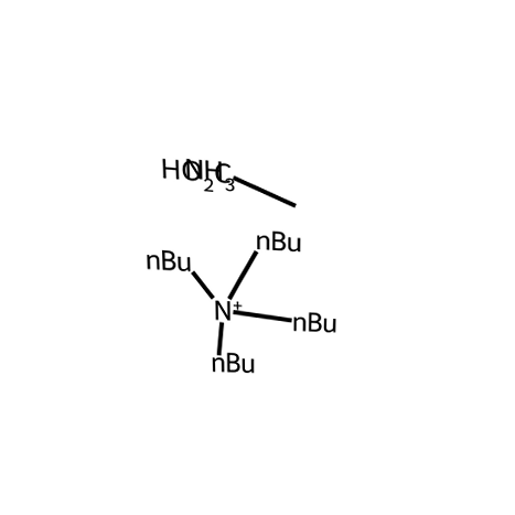 CC(=O)O.CCCC[N+](CCCC)(CCCC)CCCC.N